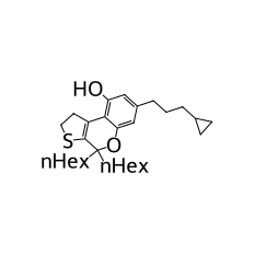 CCCCCCC1(CCCCCC)Oc2cc(CCCC3CC3)cc(O)c2C2=C1SCC2